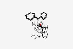 NC(=O)[C@@H]1CN2CC[C@H]1C(=O)[C@@H]2C(c1ccccc1)c1ccccc1